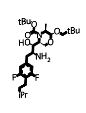 CC(C)CCc1c(F)cc(C[C@H](N)[C@H](O)[C@H]2CO[C@@H](OCC(C)(C)C)[C@H](C)N2C(=O)OC(C)(C)C)cc1F